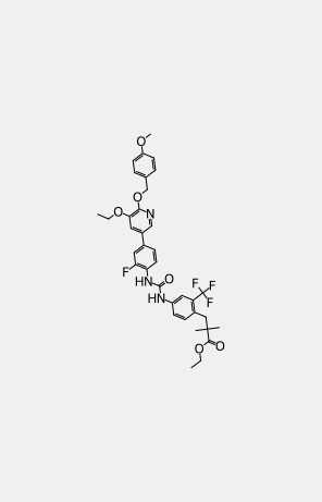 CCOC(=O)C(C)(C)Cc1ccc(NC(=O)Nc2ccc(-c3cnc(OCc4ccc(OC)cc4)c(OCC)c3)cc2F)cc1C(F)(F)F